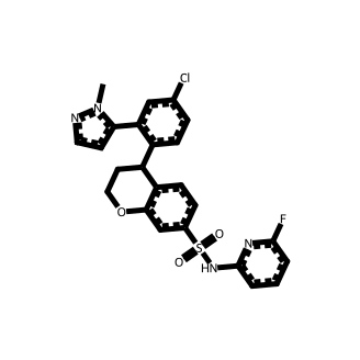 Cn1nccc1-c1cc(Cl)ccc1C1CCOc2cc(S(=O)(=O)Nc3cccc(F)n3)ccc21